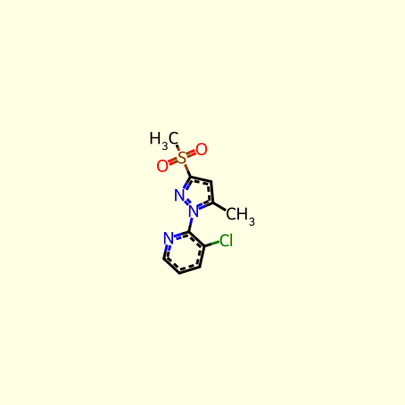 Cc1cc(S(C)(=O)=O)nn1-c1ncccc1Cl